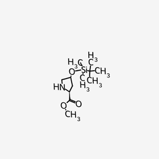 COC(=O)[C@@H]1C[C@@H](O[Si](C)(C)C(C)(C)C)CN1